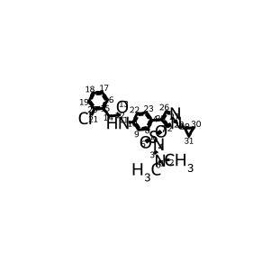 CN(C)/C=N/S(=O)(=O)c1cc(NC(=O)Cc2ccccc2Cl)ccc1-c1cnn(C2CC2)c1